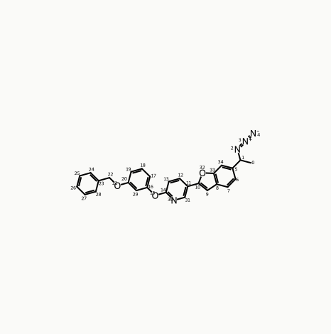 CC(N=[N+]=[N-])c1ccc2cc(-c3ccc(Oc4cccc(OCc5ccccc5)c4)nc3)oc2c1